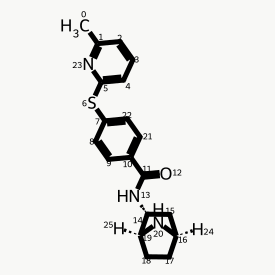 Cc1cccc(Sc2ccc(C(=O)N[C@@H]3C[C@H]4CC[C@@H]3N4)cc2)n1